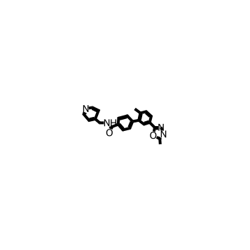 Cc1nnc(-c2ccc(C)c(-c3ccc(C(=O)NCc4ccncc4)cc3)c2)o1